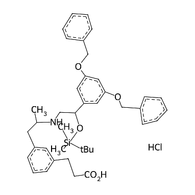 CC(Cc1cccc(CCC(=O)O)c1)NCC(O[Si](C)(C)C(C)(C)C)c1cc(OCc2ccccc2)cc(OCc2ccccc2)c1.Cl